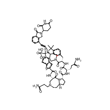 CC(C)(C)c1ccc(C[C@H](NC(=O)[C@H](CCC(N)=O)NC(=O)[C@@H]2CC[C@@H]3CCN(CCC(N)=O)C[C@H](NC(=O)c4cc5cc(C(F)(F)P(=O)(O)O)ccc5s4)C(=O)N32)C(=O)N2CCC(CCC#Cc3cccc4c3CN(C3CCC(=O)NC3=O)C4=O)CC2)cc1